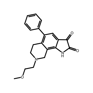 COCCN1CCc2c(-c3ccccc3)cc3c(c2C1)NC(=O)C3=O